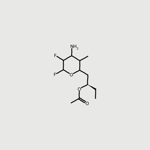 CC[C@H](CC1OC(F)C(F)C(N)C1C)OC(C)=O